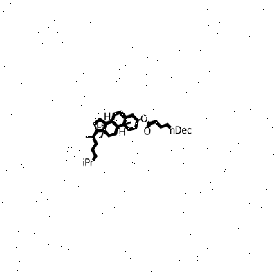 CCCCCCCCCCCCCC(=O)O[C@H]1CC[C@@]2(C)C(=CC[C@H]3[C@@H]4CC[C@H]([C@H](C)CCCC(C)C)[C@@]4(C)CC[C@@H]32)C1